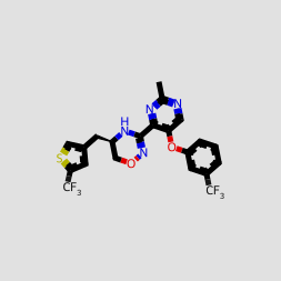 Cc1ncc(Oc2cccc(C(F)(F)F)c2)c(C2=NOC[C@@H](Cc3csc(C(F)(F)F)c3)N2)n1